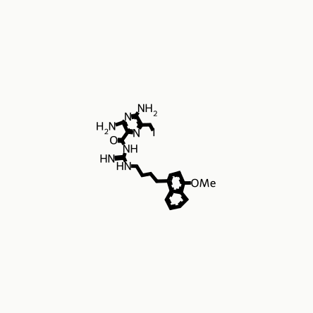 COc1ccc(CCCCNC(=N)NC(=O)c2nc(CI)c(N)nc2N)c2ccccc12